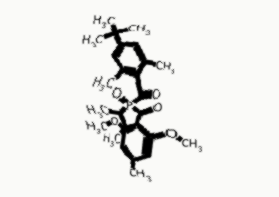 CCC(C)P(=O)(C(=O)c1c(C)cc(C(C)(C)C)cc1C)C(=O)c1c(OC)cc(C)cc1OC